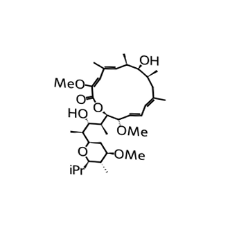 CO/C1=C\C(C)=C\[C@@H](C)[C@@H](O)[C@@H](C)C/C(C)=C/C=C/[C@H](OC)[C@@H]([C@@H](C)[C@@H](O)[C@H](C)[C@H]2C[C@@H](OC)[C@H](C)[C@@H](C(C)C)O2)OC1=O